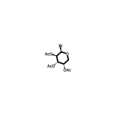 CC(=O)O[C@@H]1[C@@H](OC(C)=O)[C@@H](Br)OC[C@@H]1OC(C)=O